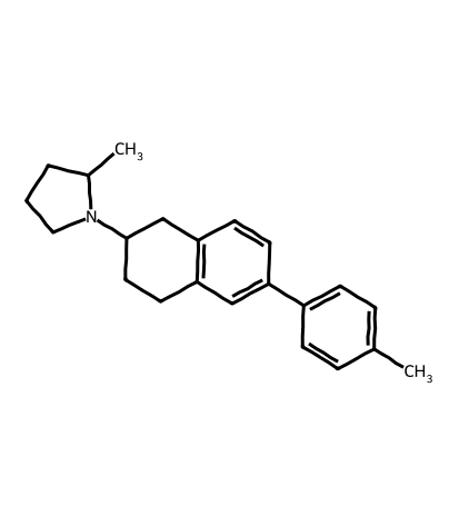 Cc1ccc(-c2ccc3c(c2)CCC(N2CCCC2C)C3)cc1